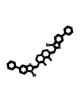 CCN1/C(=C/C2=C(C)C3=C(C)/C(=C/c4sc5cc(-c6ccccc6)ccc5[n+]4CC)CCC3CC2)Sc2cc(-c3ccccc3)ccc21